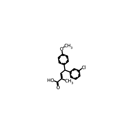 COc1ccc(C(/C=C(\C)C(=O)O)c2cccc(Cl)c2)cc1